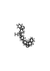 C1=c2oc3ccccc3c2=CC(Nc2ccc(-c3ccc4oc5ccc6ccccc6c5c4c3)cc2)C1